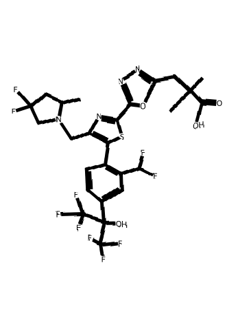 CC1CC(F)(F)CN1Cc1nc(-c2nnc(CC(C)(C)C(=O)O)o2)sc1-c1ccc(C(O)(C(F)(F)F)C(F)(F)F)cc1C(F)F